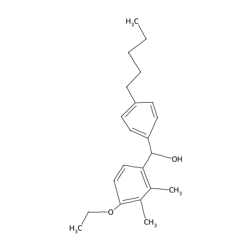 CCCCCc1ccc(C(O)c2ccc(OCC)c(C)c2C)cc1